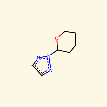 [c]1cnn(C2CCCCO2)n1